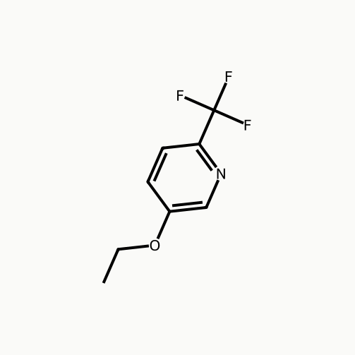 CCOc1ccc(C(F)(F)F)nc1